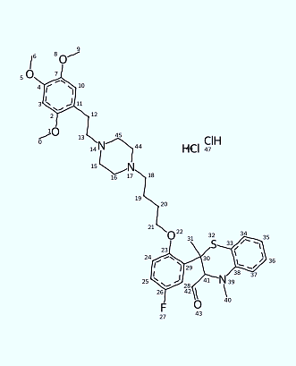 COc1cc(OC)c(OC)cc1CCN1CCN(CCCCOc2ccc(F)cc2C2(C)Sc3ccccc3N(C)C2C=O)CC1.Cl.Cl